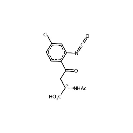 CC(=O)N[C@@H](CC(=O)c1ccc(Cl)cc1N=C=O)C(=O)O